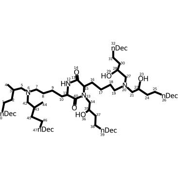 CCCCCCCCCCCCC(C)CN(CCCCC1NC(=O)C(CCCCN(CC(O)CCCCCCCCCCCC)CC(O)CCCCCCCCCCCC)N(CC(O)CCCCCCCCCCCC)C1=O)CC(C)CCCCCCCCCCCC